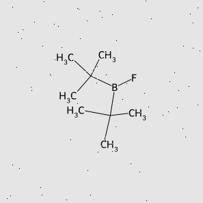 CC(C)(C)B(F)C(C)(C)C